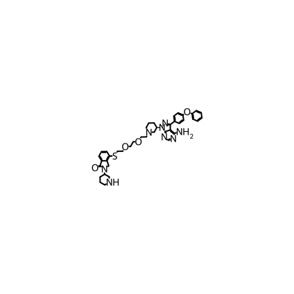 Nc1ncnc2c1c(-c1ccc(Oc3ccccc3)cc1)nn2[C@@H]1CCCN(CCOCCOCCSc2cccc3c2CN(C2CCCNC2)C3=O)C1